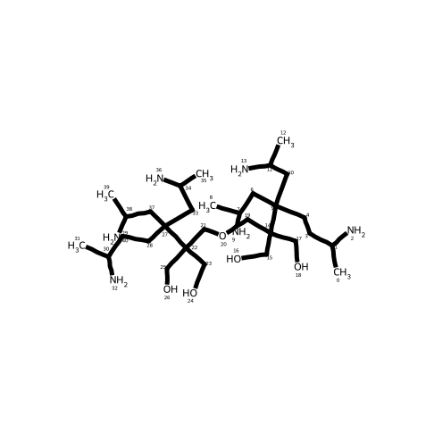 CC(N)CCC(CC(C)N)(CC(C)N)C(CO)(CO)COCC(CO)(CO)C(CCC(C)N)(CC(C)N)CC(C)N